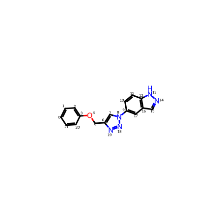 c1ccc(OCc2cn(-c3ccc4[nH]ncc4c3)nn2)cc1